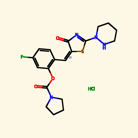 Cl.O=C1N=C(N2CCCCN2)S/C1=C/c1ccc(F)cc1OC(=O)N1CCCC1